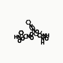 Cc1cc(CC(OC(=O)N2CCC3(CC2)OC(=O)Nc2ccccc23)C(=O)N2CCN(C3CCCCC3)CC2)cc2[nH]c(=O)[nH]c12